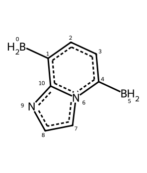 Bc1ccc(B)n2ccnc12